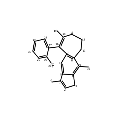 CC1=CCc2c1cc1c(c2C)CCCC(C)=C1c1ccccc1F